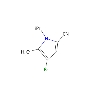 Cc1c(Br)cc(C#N)n1C(C)C